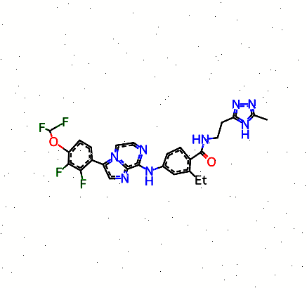 CCc1cc(Nc2nccn3c(-c4ccc(OC(F)F)c(F)c4F)cnc23)ccc1C(=O)NCCc1nnc(C)[nH]1